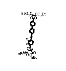 CCCCOC(=O)[C@@H]1OC(c2ccc(C#Cc3ccc(-c4ccc(C5O[C@@H](C(=O)OCC)[C@H](C(=O)OCC)O5)cc4)cc3)c(F)c2F)O[C@H]1C(=O)OCCCC